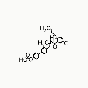 CCCCOc1ccc(Cl)cc1C(=O)NC(C)Cc1ccc(-c2ccc(OC(=O)O)cc2)cc1